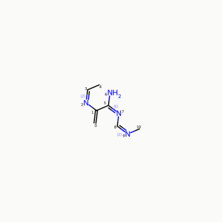 C=C(/N=C\C)/C(N)=N\C=N/C